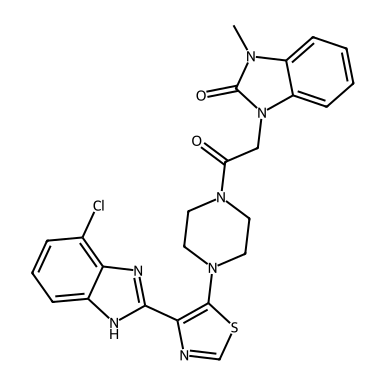 Cn1c(=O)n(CC(=O)N2CCN(c3scnc3-c3nc4c(Cl)cccc4[nH]3)CC2)c2ccccc21